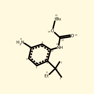 CCC(C)(C)c1ccc(N)cc1NC(=O)OC(C)(C)C